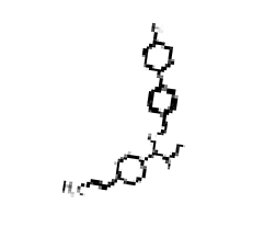 C/C=C/C1CCC(C(OCc2ccc(C3CCC(CC)CC3)cc2)C(F)F)CC1